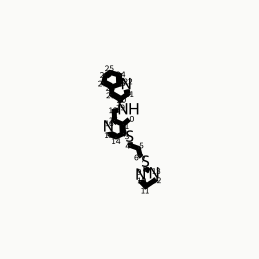 Cc1c(SCCCSc2ncccn2)ccnc1CNc1cnc2ccccc2c1